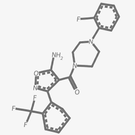 Nc1onc(-c2ccccc2C(F)(F)F)c1C(=O)N1CCN(c2ccccc2F)CC1